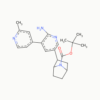 Cc1cc(-c2cc(C3CC4CCC3N4C(=O)OC(C)(C)C)cnc2N)ccn1